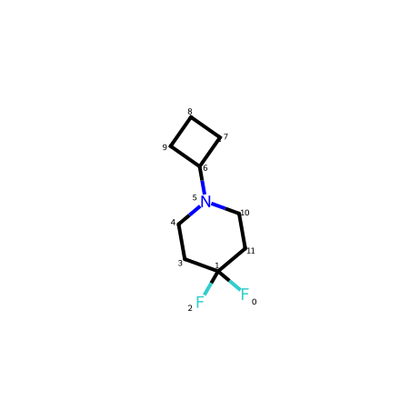 FC1(F)CCN(C2[CH]CC2)CC1